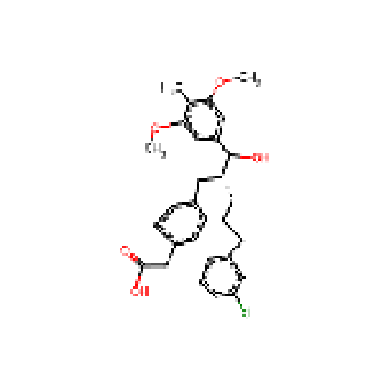 COc1cc(C(O)[C@H](CCCc2cccc(Cl)c2)Cc2ccc(CC(=O)O)cc2)cc(OC)c1C